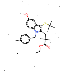 CCOC(=O)C(C)(C)Cc1c(SC(C)(C)C)c2cc(O)ccc2n1Cc1ccc(C)cc1